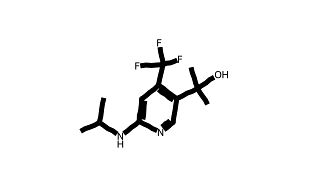 CC(C)Nc1cc(C(F)(F)F)c(C(C)(C)O)cn1